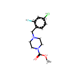 CC(C)(C)OC(=O)N1CCN(Cc2ccc(Cl)cc2F)CC1